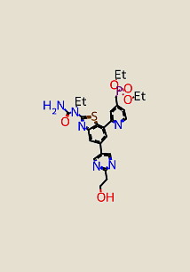 CCOP(=O)(Cc1ccnc(-c2cc(-c3cnc(CCO)nc3)cc3nc(N(CC)C(N)=O)sc23)c1)OCC